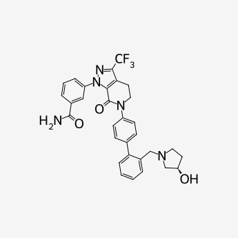 NC(=O)c1cccc(-n2nc(C(F)(F)F)c3c2C(=O)N(c2ccc(-c4ccccc4CN4CC[C@@H](O)C4)cc2)CC3)c1